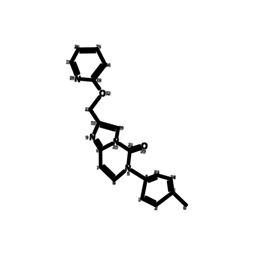 Cc1ccc(-n2ccc3nc(COc4ccccn4)cn3c2=O)cc1